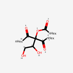 CCCCCCC(=O)OC(C(=O)CCCCCC)(C(=O)CCCCCC)C(O)CO